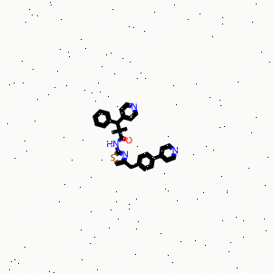 CC(C)(C(=O)Nc1nc(Cc2ccc(-c3ccncc3)cc2)cs1)C(c1ccccc1)c1ccncc1